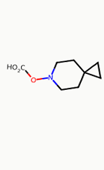 O=C(O)ON1CCC2(CC1)CC2